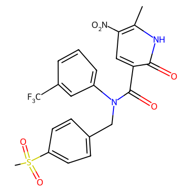 Cc1[nH]c(=O)c(C(=O)N(Cc2ccc(S(C)(=O)=O)cc2)c2cccc(C(F)(F)F)c2)cc1[N+](=O)[O-]